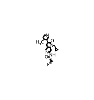 Cc1ccncc1-c1cc2cnc(NC(=O)[C@@H]3C[C@@H]3F)cc2n(CC2CC2)c1=O